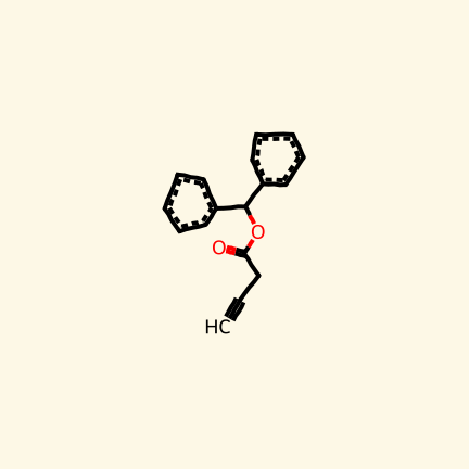 C#CCC(=O)OC(c1ccccc1)c1ccccc1